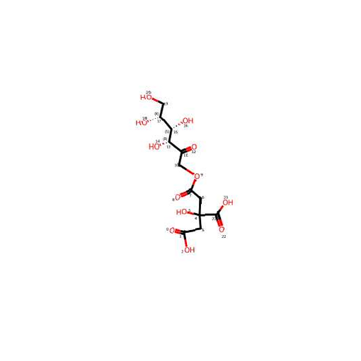 O=C(O)CC(O)(CC(=O)OCC(=O)[C@H](O)[C@@H](O)[C@H](O)CO)C(=O)O